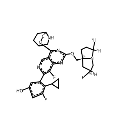 [2H]C1([2H])CC[C@@]2(COc3nc(N4CC5CCC4CN5)c4cnc(-c5cc(O)cc(F)c5C5CC5)c(F)c4n3)C[C@@]([2H])(F)CN12